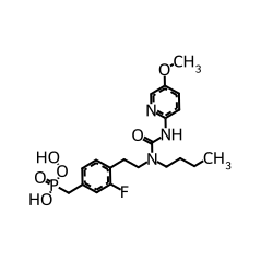 CCCCN(CCc1ccc(CP(=O)(O)OO)cc1F)C(=O)Nc1ccc(OC)cn1